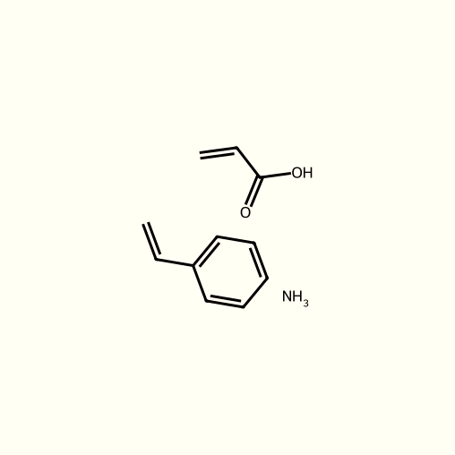 C=CC(=O)O.C=Cc1ccccc1.N